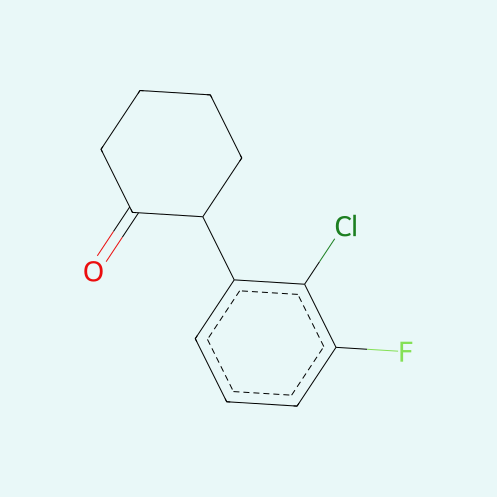 O=C1CCCCC1c1cccc(F)c1Cl